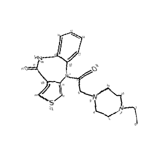 CCN1CCN(CC(=O)N2c3ccccc3NC(=O)c3cscc32)CC1